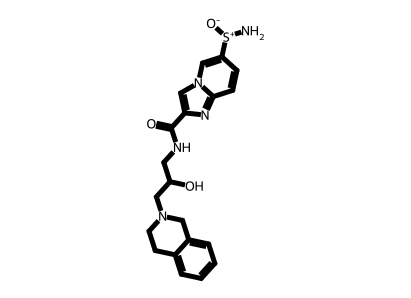 N[S+]([O-])c1ccc2nc(C(=O)NCC(O)CN3CCc4ccccc4C3)cn2c1